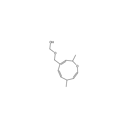 CC1/C=C\OC(C)/C=C(COCO)\C=C/1